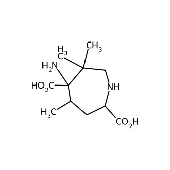 CC1CC(C(=O)O)NCC(C)(C)C1(N)C(=O)O